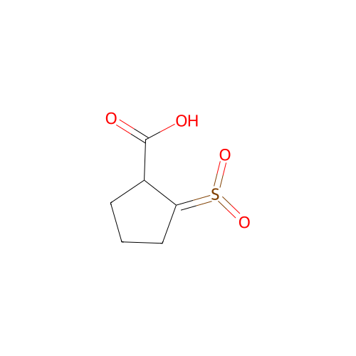 O=C(O)C1CCCC1=S(=O)=O